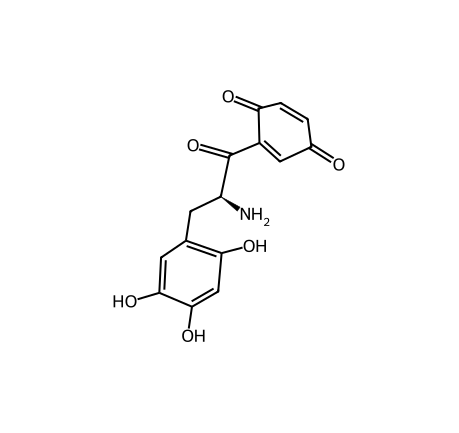 N[C@@H](Cc1cc(O)c(O)cc1O)C(=O)C1=CC(=O)C=CC1=O